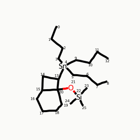 CCC[CH2][Sn]([CH2]CCC)([CH2]CCC)[CH]1CC2CCCCC21O[Si](C)(C)C